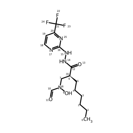 CCCCCC[C@@H](CN(O)C=O)C(=O)NNc1nccc(C(F)(F)F)n1